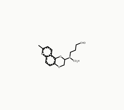 Cc1ccc2c3c(ccc2n1)OCC(N(CCCC=O)C(=O)O)O3